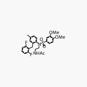 COc1ccc(S(=O)(=O)N(CCNC(C)=O)c2ccc(C)cc2Cc2c(F)cccc2F)cc1OC